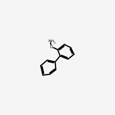 NOc1ccccc1-c1ccccc1